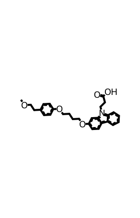 COCCc1ccc(OCCCCOc2ccc3c4ccccc4n(CCC(=O)O)c3c2)cc1